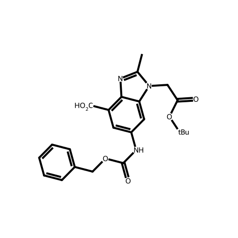 Cc1nc2c(C(=O)O)cc(NC(=O)OCc3ccccc3)cc2n1CC(=O)OC(C)(C)C